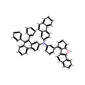 c1ccc(-c2c(-c3ccccc3)c3cc(N(c4cccc(-c5cccc6oc7c8ccccc8ccc7c56)c4)c4ccc5c(ccc6ccccc65)c4)ccc3c3ccccc23)cc1